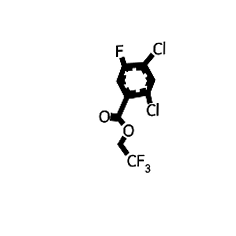 O=C(OCC(F)(F)F)c1cc(F)c(Cl)cc1Cl